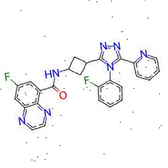 O=C(NC1CC(c2nnc(-c3ccccn3)n2-c2ccccc2F)C1)c1cc(F)cc2nccnc12